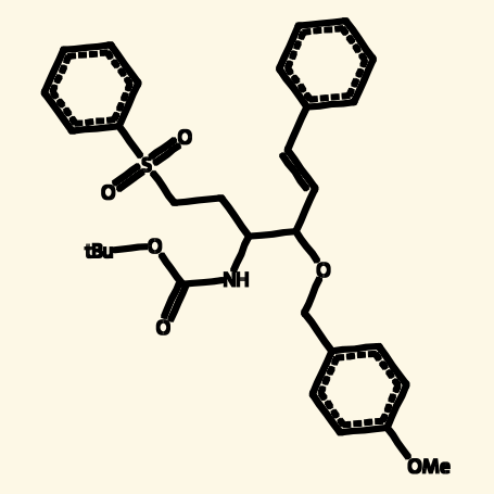 COc1ccc(COC(C=Cc2ccccc2)C(CCS(=O)(=O)c2ccccc2)NC(=O)OC(C)(C)C)cc1